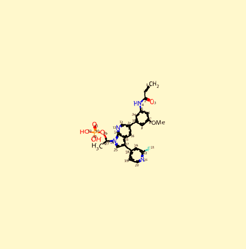 C=CC(=O)Nc1cc(OC)cc(-c2cnc3c(c2)c(-c2ccnc(F)c2)cn3C(C)OP(=O)(O)O)c1